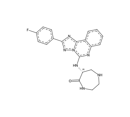 O=C1NCCNC[C@H]1Nc1nc2ccccc2c2nc(-c3ccc(F)cc3)nn12